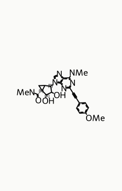 CNC(=O)[C@]12CC1[C@@H](n1cnc3c(NC)nc(C#Cc4ccc(OC)cc4)nc31)C(O)[C@@H]2O